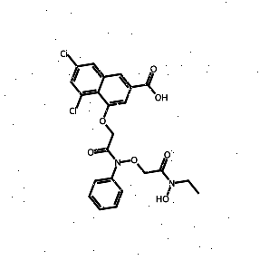 CCN(O)C(=O)CON(C(=O)COc1cc(C(=O)O)cc2cc(Cl)cc(Cl)c12)c1ccccc1